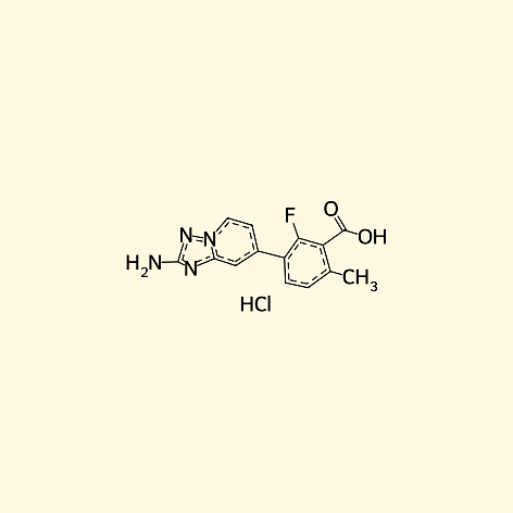 Cc1ccc(-c2ccn3nc(N)nc3c2)c(F)c1C(=O)O.Cl